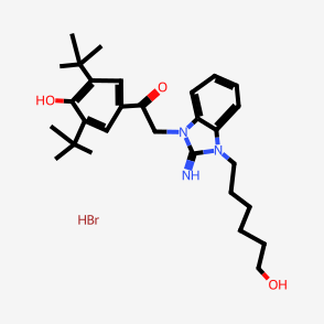 Br.CC(C)(C)c1cc(C(=O)Cn2c(=N)n(CCCCCCO)c3ccccc32)cc(C(C)(C)C)c1O